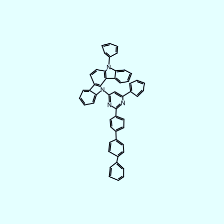 c1ccc(-c2ccc(-c3ccc(-c4nc(-c5ccccc5)cc(-n5c6ccccc6c6ccc7c(c8ccccc8n7-c7ccccc7)c65)n4)cc3)cc2)cc1